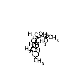 COC(=O)C(O)C[C@@H](C)[C@H]1CC[C@H]2[C@@H]3CC=C4C[C@@H](C)CC[C@]4(C)[C@H]3CC[C@]12C